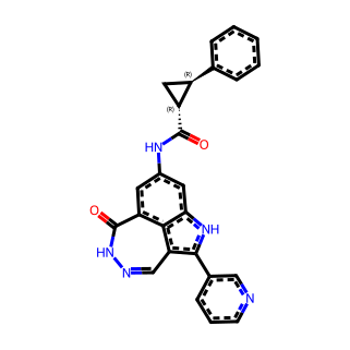 O=C1NN=Cc2c(-c3cccnc3)[nH]c3cc(NC(=O)[C@@H]4C[C@H]4c4ccccc4)cc1c23